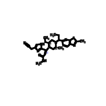 CCC(c1ccc2nc(C)sc2n1)N1C[C@H](CC)N(/C(=C/C(=O)NC)c2nc(CC#N)c[nH]2)C[C@H]1C